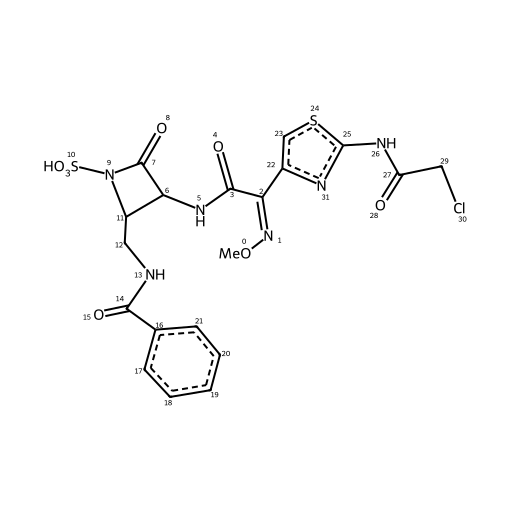 CON=C(C(=O)NC1C(=O)N(S(=O)(=O)O)C1CNC(=O)c1ccccc1)c1csc(NC(=O)CCl)n1